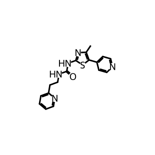 Cc1nc(NC(=O)NCCc2ccccn2)sc1-c1ccncc1